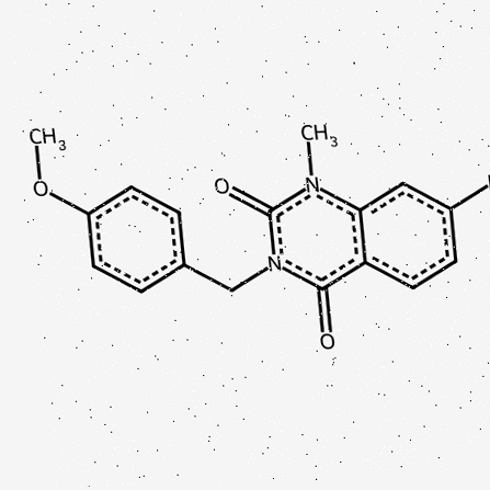 COc1ccc(Cn2c(=O)c3ccc(F)cc3n(C)c2=O)cc1